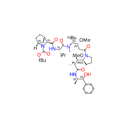 CC[C@H](C)[C@@H]([C@@H](CC(=O)N1CCC[C@H]1[C@H](OC)[C@@H](C)C(=O)N[C@H](C)[C@@H](O)c1ccccc1)OC)N(C)C(=O)[C@@H](NC(=O)[C@@H]1C2=C[C@@H](CC2)N1C(=O)OC(C)(C)C)C(C)C